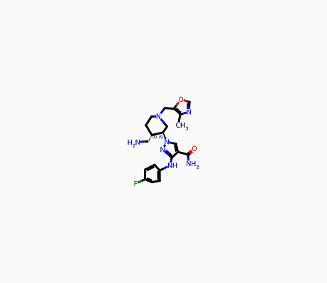 Cc1ncoc1CN1CC[C@@H](CN)[C@H](n2cc(C(N)=O)c(Nc3ccc(F)cc3)n2)C1